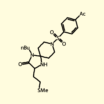 CCCCN1C(=O)C(CCSC)NC12CCN(S(=O)(=O)c1ccc(C(C)=O)cc1)CC2